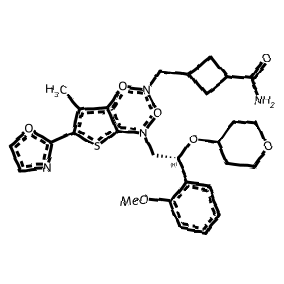 COc1ccccc1[C@H](Cn1on(CC2CC(C(N)=O)C2)oc2c(C)c(-c3ncco3)sc21)OC1CCOCC1